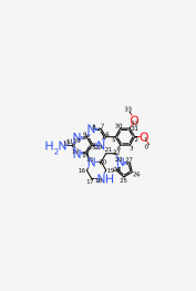 COc1ccc(-c2cnc3nc(N)nc(N4CCNCC4CCn4cccc4)c3n2)cc1OC